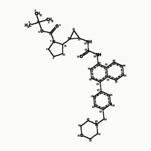 CC(C)(C)OC(=O)N1CCCC1C1CC1NC(=O)Nc1ccc(-c2ccc(CN3CCOCC3)nc2)c2ccccc12